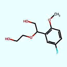 COc1ccc(F)cc1C(CO)OCCO